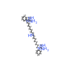 N=C(N)N(CCCCCCCCNCCCCCCCCN(C(=N)N)C1CCCCC1)C1CCCCC1